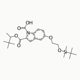 CC(OC(=O)c1cc2cc(OCCO[Si](C)(C)C(C)(C)C)ccc2n1C(=O)O)C(C)(C)C